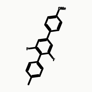 COc1ccc(-c2cc(F)c(-c3ccc(C)cc3)c(F)c2)cc1